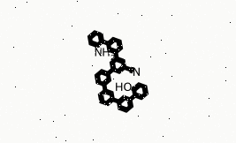 N#Cc1cc(-c2cccc(-c3cccc(-c4cccc(-c5ccccc5O)c4)c3)c2)cc(-c2cccc(-c3ccccc3N)c2)c1